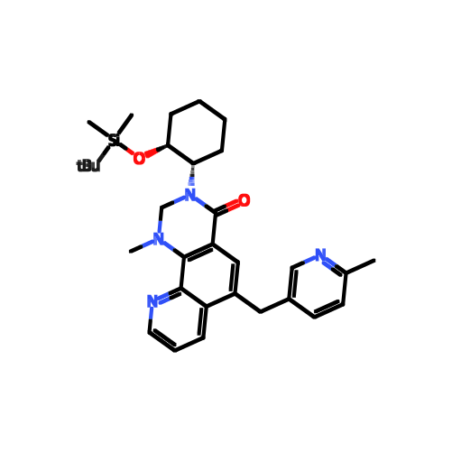 Cc1ccc(Cc2cc3c(c4ncccc24)N(C)CN([C@H]2CCCC[C@@H]2O[Si](C)(C)C(C)(C)C)C3=O)cn1